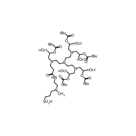 CCCCCCCCC(CN(CCC(=O)NCCN(C)CCCS(=O)(=O)O)CCN(CCN(CC(CCCCCCCC)OC(=O)C(C)(C)C)CC(CCCCCCCC)OC(=O)C(C)(C)C)CCN(CC(CCCCCCCC)OC(=O)C(C)(C)C)CC(CCCCCCCC)OC(=O)C(C)(C)C)OC(=O)C(C)(C)C